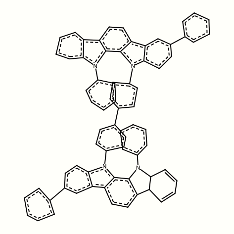 C1=CC2c3ccc4c5cc(-c6ccccc6)ccc5n(-c5ccc(-c6ccc(-n7c8ccc(-c9ccccc9)cc8c8ccc9c%10ccccc%10n(-c%10ccccc%10)c9c87)cc6)cc5)c4c3N(c3ccccc3)C2C=C1